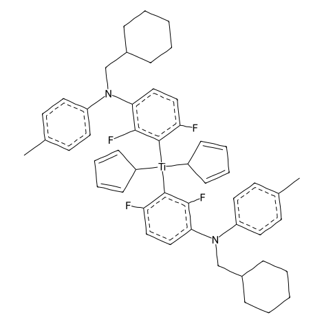 Cc1ccc(N(CC2CCCCC2)c2ccc(F)[c]([Ti]([c]3c(F)ccc(N(CC4CCCCC4)c4ccc(C)cc4)c3F)([CH]3C=CC=C3)[CH]3C=CC=C3)c2F)cc1